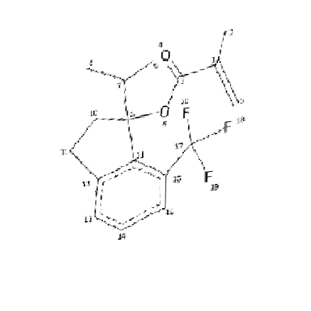 C=C(C)C(=O)OC1(C(C)C)CCc2cccc(C(F)(F)F)c21